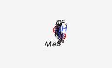 CSc1ccc(C(=O)N2CCC3(CCN(C(=O)Nc4ccc(C(F)(F)F)cc4)C3)CC2)cc1